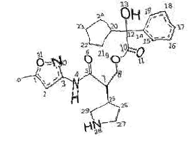 Cc1cc(NC(=O)C(COC(=O)C(O)(c2ccccc2)C2CCCC2)[C@H]2CCNC2)no1